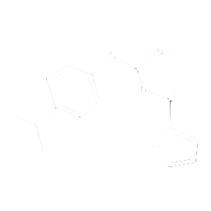 CC(C)c1ccc(NC(=N)NC(=O)c2ccco2)cc1